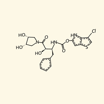 O=C(N[C@@H](Cc1ccccc1)[C@@H](O)C(=O)N1C[C@@H](O)[C@@H](O)C1)Oc1cc2scc(Cl)c2[nH]1